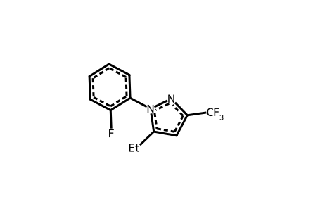 CCc1cc(C(F)(F)F)nn1-c1ccccc1F